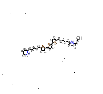 C#C/C=C\N=C(/C)CCCCCc1ccc(-c2ccc(-c3ccc(CCCCCc4ccccn4)s3)s2)s1